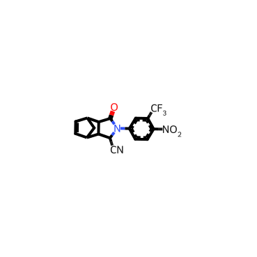 N#CC1C2C3C=CC(C3)C2C(=O)N1c1ccc([N+](=O)[O-])c(C(F)(F)F)c1